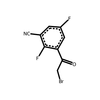 N#Cc1cc(F)cc(C(=O)CBr)c1F